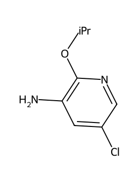 CC(C)Oc1ncc(Cl)cc1N